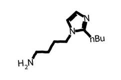 CCCCc1nccn1CCCCN